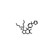 CCC[CH2][Zr]([CH2]CCC)[CH]1CCC2CC(C)=C(C)C(C)(C3=CCC(C)(C4=CC=CC4)C=C3)C21